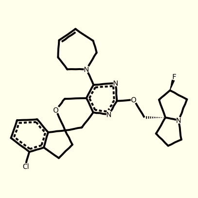 F[C@H]1CN2CCC[C@@]2(COc2nc3c(c(N4CCC=CCC4)n2)COC2(CCc4c(Cl)cccc42)C3)C1